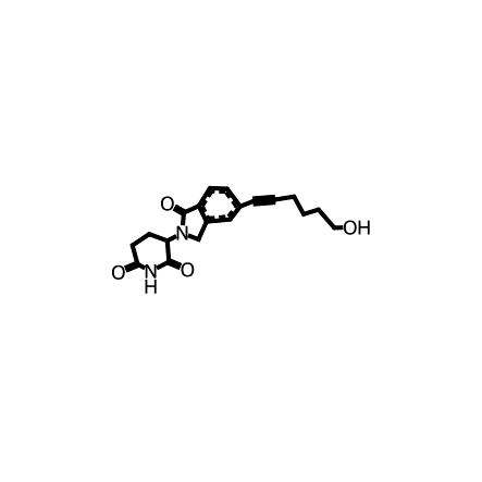 O=C1CCC(N2Cc3cc(C#CCCCCO)ccc3C2=O)C(=O)N1